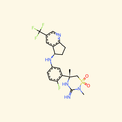 CN1C(=N)N[C@](C)(c2cc(N[C@@H]3CCc4ncc(C(F)(F)F)cc43)ccc2F)CS1(=O)=O